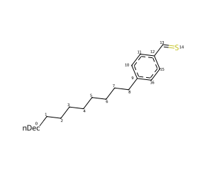 CCCCCCCCCCCCCCCCCCc1ccc(C=S)cc1